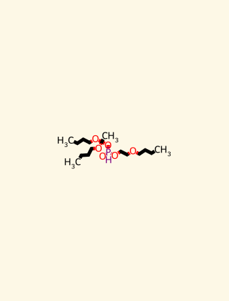 CCCCOCCO[PH](=O)OC(C)(OCCCC)OCCCC